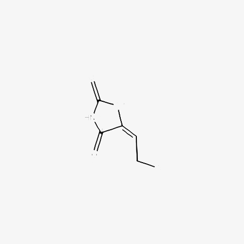 [O]C/C=C1/OC(=O)NC1=O